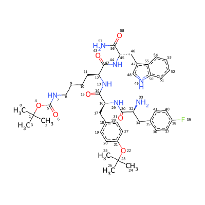 CC(C)(C)OC(=O)NCCCC[C@H](NC(=O)[C@H](Cc1ccc(OC(C)(C)C)cc1)NC(=O)[C@@H](N)Cc1ccc(F)cc1)C(=O)N[C@@H](Cc1c[nH]c2ccccc12)C(N)=O